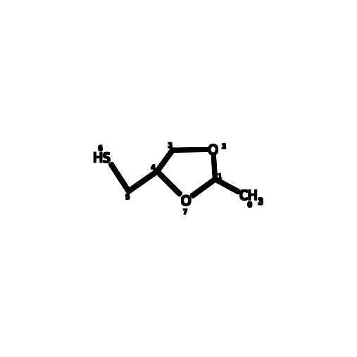 CC1OCC(CS)O1